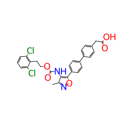 Cc1noc(-c2ccc(-c3ccc(CC(=O)O)cc3)cc2)c1NC(=O)OCCc1c(Cl)cccc1Cl